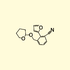 N#Cc1cccc(COC2CCCCO2)c1-c1ccco1